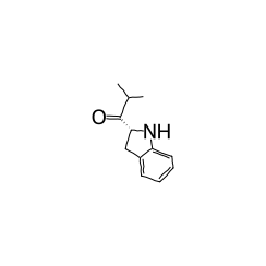 CC(C)C(=O)[C@H]1Cc2ccccc2N1